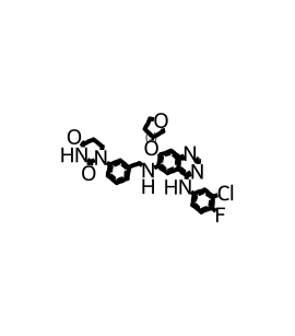 O=C1CCN(c2cccc(CNc3cc4c(Nc5ccc(F)c(Cl)c5)ncnc4cc3O[C@H]3CCOC3)c2)C(=O)N1